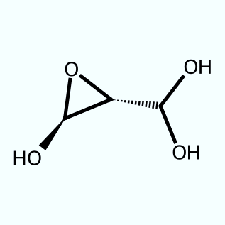 OC(O)[C@H]1O[C@@H]1O